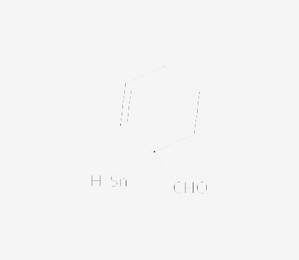 O=C[C]1([SnH3])C=CCCC1